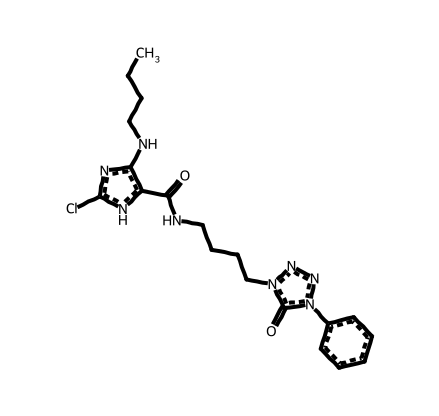 CCCCNc1nc(Cl)[nH]c1C(=O)NCCCCn1nnn(-c2ccccc2)c1=O